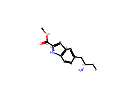 CC[C@H](N)Cc1ccc2[nH]c(C(=O)OC)cc2c1